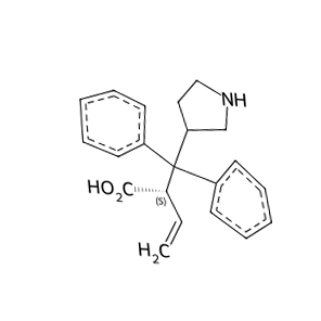 C=C[C@H](C(=O)O)C(c1ccccc1)(c1ccccc1)C1CCNC1